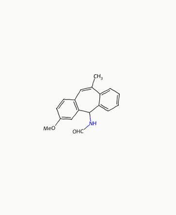 COc1ccc2c(c1)C(NC=O)c1ccccc1C(C)=C2